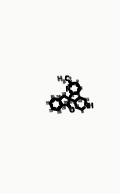 Cc1cccc(C2(C3CCNCC3)Cc3ccccc3C2=O)n1